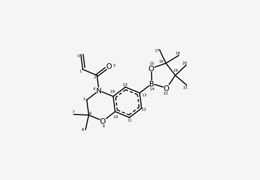 C=CC(=O)N1CC(C)(C)Oc2ccc(B3OC(C)(C)C(C)(C)O3)cc21